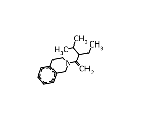 C=C(C(CC)C(C)C)N1CCc2ccccc2C1